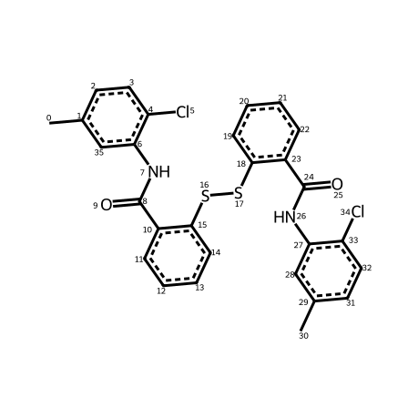 Cc1ccc(Cl)c(NC(=O)c2ccccc2SSc2ccccc2C(=O)Nc2cc(C)ccc2Cl)c1